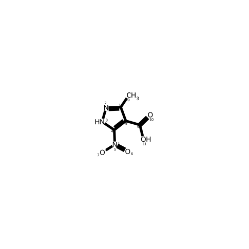 Cc1n[nH]c([N+](=O)[O-])c1C(=O)O